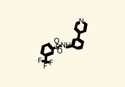 O=S(=O)(NCc1cccc(-c2ccncc2)c1)c1cccc(C(F)(F)F)c1